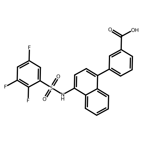 O=C(O)c1cccc(-c2ccc(NS(=O)(=O)c3cc(F)cc(F)c3F)c3ccccc23)c1